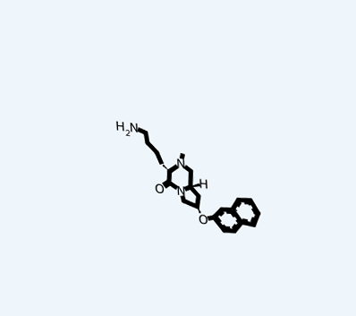 CN1C[C@@H]2C[C@H](Oc3ccc4ccccc4c3)CN2C(=O)[C@@H]1CCCCN